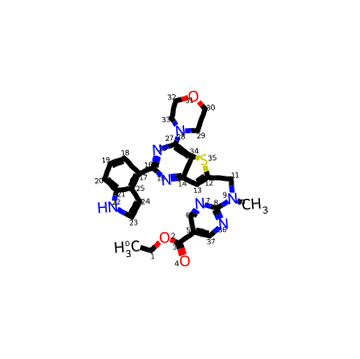 CCOC(=O)c1cnc(N(C)Cc2cc3nc(-c4cccc5[nH]ccc45)nc(N4CCOCC4)c3s2)nc1